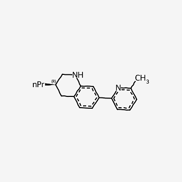 CCC[C@H]1CNc2cc(-c3cccc(C)n3)ccc2C1